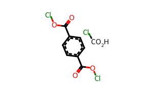 O=C(O)Cl.O=C(OCl)c1ccc(C(=O)OCl)cc1